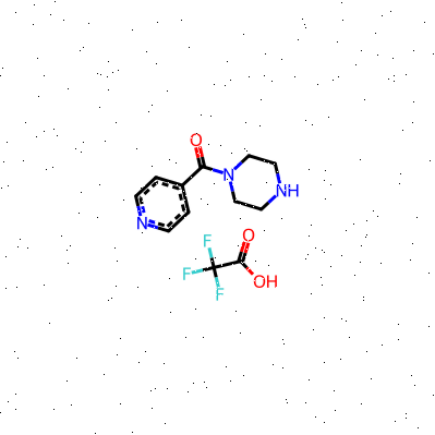 O=C(O)C(F)(F)F.O=C(c1ccncc1)N1CCNCC1